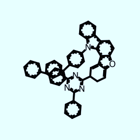 C1=c2oc3ccc4c5ccccc5n(-c5ccc(-c6cccc(-c7ccccc7)c6)cc5)c4c3c2=CC(c2nc(-c3ccccc3)nc(-c3ccccc3)n2)C1